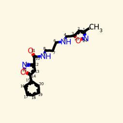 Cc1cc(CNCCCNC(=O)c2cc(-c3ccccc3)on2)on1